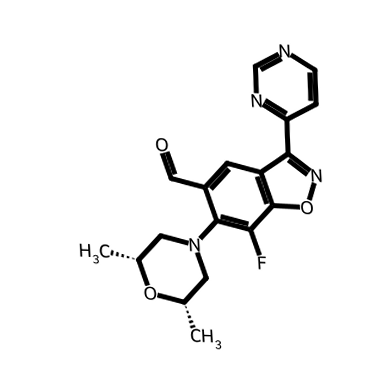 C[C@@H]1CN(c2c(C=O)cc3c(-c4ccncn4)noc3c2F)C[C@H](C)O1